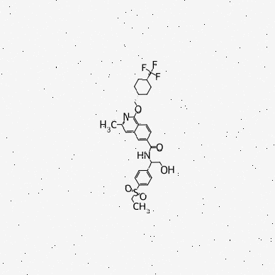 CCS(=O)(=O)c1ccc(C(CO)NC(=O)c2ccc3c(OC[C@H]4CC[C@H](C(F)(F)F)CC4)nc(C)cc3c2)cc1